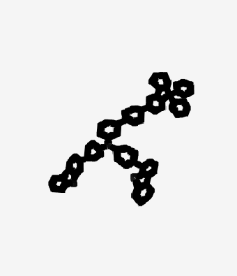 c1ccc(C2(c3ccccc3)c3ccccc3-c3cc(-c4ccc(-c5cccc(N(c6ccc(-c7ccc8c(c7)oc7ccccc78)cc6)c6ccc(-c7cccc8c7oc7ccccc78)cc6)c5)cc4)ccc32)cc1